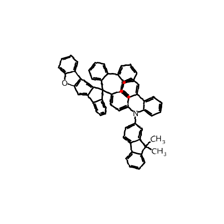 CC1(C)c2ccccc2-c2ccc(N(c3ccc4c(c3)-c3ccccc3-c3ccccc3C43c4ccccc4-c4cc5oc6ccccc6c5cc43)c3ccccc3-c3ccccc3)cc21